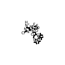 CC(C)[Si]1(C(C)C)OCC2OC(n3cnc4c(N)nc(Cl)nc43)C(OS(=O)(=O)C(F)(F)F)C2O[Si](C(C)C)(C(C)C)O1